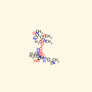 COc1cc(-c2cn(C)c(=O)c3cnccc23)cc(OC)c1CN(C)CCOCCOCC(=O)N[C@H](C(=O)N1C[C@H](O)C[C@H]1C(=O)NCc1ccc(-c2scnc2C)cc1)C(C)(C)C